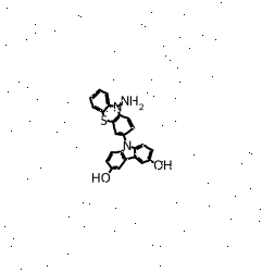 NN1c2ccccc2Sc2cc(-n3c4ccc(O)cc4c4cc(O)ccc43)ccc21